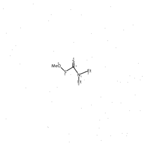 CCN(CC)C(=S)SOC